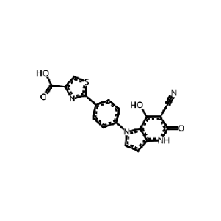 N#Cc1c(O)c2c(ccn2-c2ccc(-c3nc(C(=O)O)cs3)cc2)[nH]c1=O